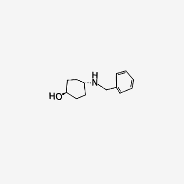 O[C@H]1CC[C@H](NCc2ccccc2)CC1